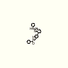 O=C(NCc1ccc(-c2cccn3nc(Nc4ccccc4)nc23)cc1)c1ccccc1